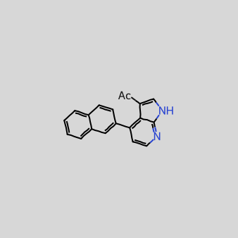 CC(=O)c1c[nH]c2nccc(-c3ccc4ccccc4c3)c12